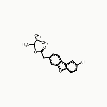 CC(OC(=O)Cc1ccc2c(c1)oc1ccc(Cl)cc12)N(C)C